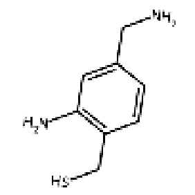 NCc1ccc(CS)c(N)c1